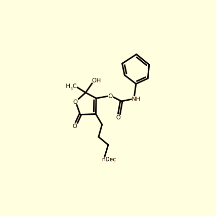 CCCCCCCCCCCCCC1=C(OC(=O)Nc2ccccc2)C(C)(O)OC1=O